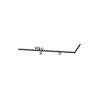 CCCCCCCC/C=C\CCCCCCCCCCCC(=O)CCCCCCCCCCCCCCC(=O)NC(CO)CCCCCCCCCCCCCCCCCC